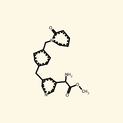 COC(=O)C(N)c1cncc(Cc2ccc(Cn3ccccc3=O)cc2)c1